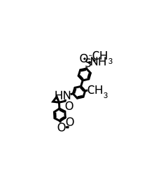 CN[S+]([O-])c1ccc(-c2cc(NC(=O)C3(c4ccc5c(c4)OCO5)CC3)ccc2C)cc1